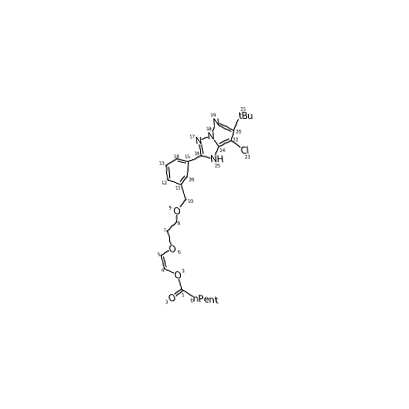 CCCCCC(=O)O/C=C\OCCOCc1cccc(-c2nn3nc(C(C)(C)C)c(Cl)c3[nH]2)c1